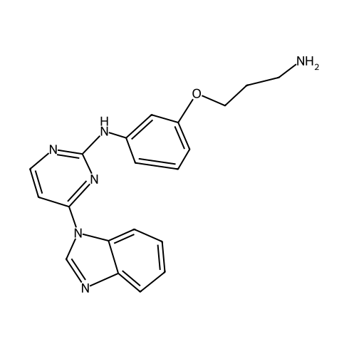 NCCCOc1cccc(Nc2nccc(-n3cnc4ccccc43)n2)c1